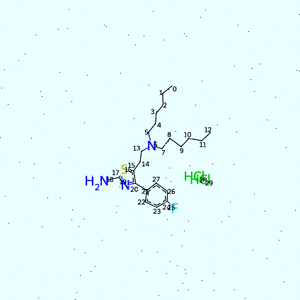 CCCCCCN(CCCCCC)CCc1sc(N)nc1-c1ccc(F)cc1.Cl.Cl